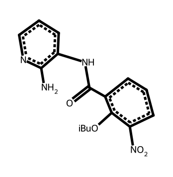 CC(C)COc1c(C(=O)Nc2cccnc2N)cccc1[N+](=O)[O-]